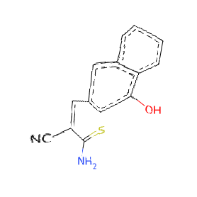 N#C/C(=C/c1cc(O)c2ccccc2c1)C(N)=S